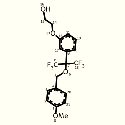 COc1ccc(COC(c2cccc(OCCO)c2)(C(F)(F)F)C(F)(F)F)cc1